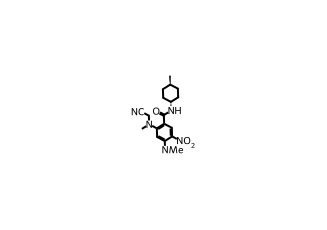 CNc1cc(N(C)CC#N)c(C(=O)N[C@H]2CC[C@H](C)CC2)cc1[N+](=O)[O-]